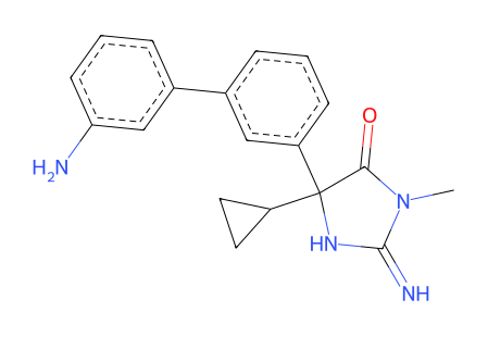 CN1C(=N)NC(c2cccc(-c3cccc(N)c3)c2)(C2CC2)C1=O